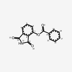 O=C(Oc1cccc2c1C(=O)NC2=O)c1ccccc1